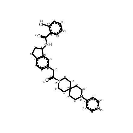 O=C(NC1CCc2ccc(CC(=O)N3CCC4(CC3)CCN(c3ccncc3)CC4)cc21)c1ccccc1Cl